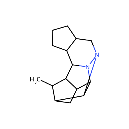 CC1C2CC3C1C1C4CCCC4CN4C2C3N14